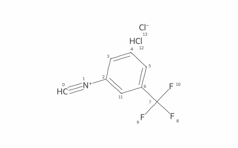 C#[N+]c1cccc(C(F)(F)F)c1.Cl.[Cl-]